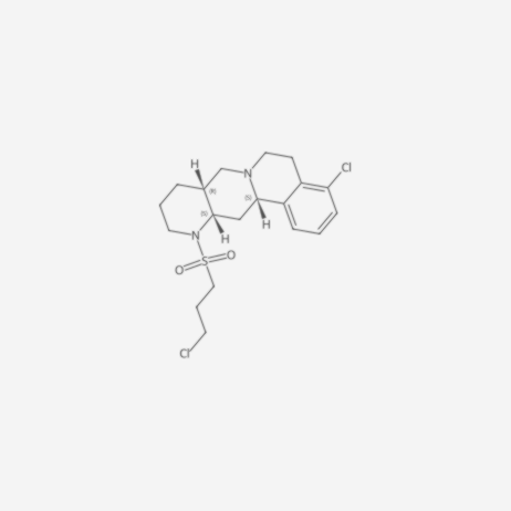 O=S(=O)(CCCCl)N1CCC[C@@H]2CN3CCc4c(Cl)cccc4[C@@H]3C[C@@H]21